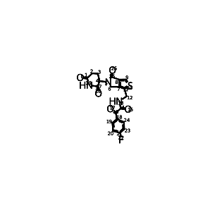 O=C1CCC(N2Cc3c(csc3CNC(=O)C(=O)c3ccc(F)cc3)C2=O)C(=O)N1